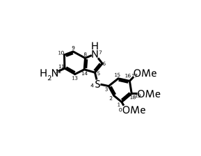 COc1cc(Sc2c[nH]c3ccc(N)cc23)cc(OC)c1OC